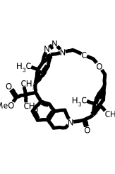 COC(=O)C(C)(C)C1c2ccc3c(c2)CN(CC3)C(=O)c2c(C)cc(cc2C)COCCCn2nnc3c(C)c1ccc32